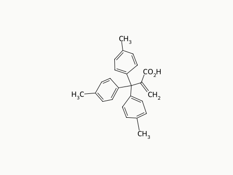 C=C(C(=O)O)C(c1ccc(C)cc1)(c1ccc(C)cc1)c1ccc(C)cc1